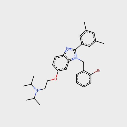 Cc1cc(C)cc(-c2nc3ccc(OCCN(C(C)C)C(C)C)cc3n2Cc2ccccc2Br)c1